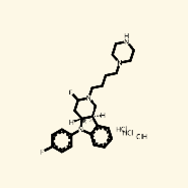 Cl.Cl.Cl.Fc1ccc(N2c3ccccc3[C@@H]3CN(CCCCN4CCNCC4)C(F)C[C@H]32)cc1